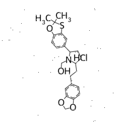 CC1(C)Oc2ccc(C3CCC(CCc4ccc5c(c4)OCO5)N3CO)cc2S1.Cl